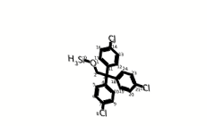 [SiH3]OCC(c1ccc(Cl)cc1)(c1ccc(Cl)cc1)c1ccc(Cl)cc1